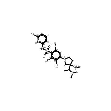 COC1(C(C)N(C)C)CCN(c2cc(F)c(S(=O)(=O)Nc3cccc(F)n3)c(F)c2Cl)C1